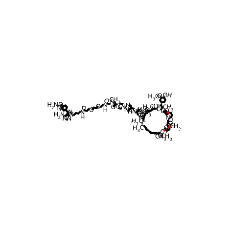 CO[C@H]1C[C@@H]2CC[C@@H](C)[C@@](O)(O2)C(=O)C(=O)N2CCCC[C@H]2C(=O)O[C@H]([C@H](C)C[C@@H]2CC[C@@H](O)[C@H](OC)C2)C[C@@H](O)[C@H](C)/C=C(\C)[C@@H](O)[C@@H](OC)C(=NOCC(=O)NCc2cnc(N3CCN(C(=O)CN(C)CC(=O)NCCOCCOCCC(=O)NCCCCn4nc(-c5ccc6oc(N)nc6c5)c5c(N)ncnc54)CC3)nc2)[C@H](C)C[C@H](C)/C=C/C=C/C=C/1C